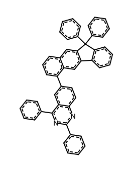 c1ccc(-c2nc(-c3ccccc3)c3cc(-c4cccc5cc6c(cc45)-c4ccccc4C6(c4ccccc4)c4ccccc4)ccc3n2)cc1